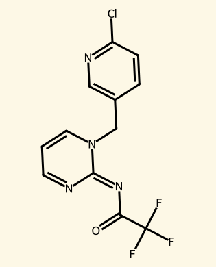 O=C(N=c1ncccn1Cc1ccc(Cl)nc1)C(F)(F)F